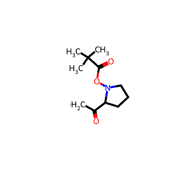 [CH2]C(=O)C1CCCN1OC(=O)C(C)(C)C